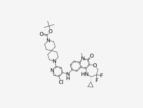 Cn1c(=O)c2c(c3cc(Nc4cc(N5CCC6(CCN(C(=O)OC(C)(C)C)CC6)CC5)ncc4Cl)ccc31)N[C@@H](C1CC1)C(F)(F)CO2